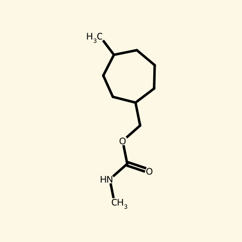 CNC(=O)OCC1CCCC(C)CC1